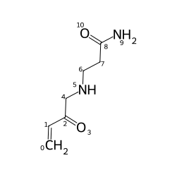 C=CC(=O)CNCCC(N)=O